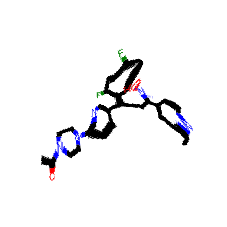 CC(=O)N1CCN(c2ccc(C(C/C(=N\O)c3ccnc(C)c3)c3ccc(F)cc3F)cn2)CC1